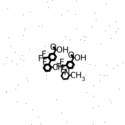 CC1CCCCN1c1ccc(C(=O)O)cc1C(F)(F)F.Cc1ccccc1-c1ccc(C(=O)O)cc1C(F)(F)F